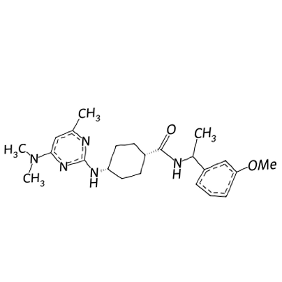 COc1cccc(C(C)NC(=O)[C@H]2CC[C@@H](Nc3nc(C)cc(N(C)C)n3)CC2)c1